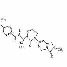 CN1Cc2cc(N3CCO[C@H]([C@@H](O)C(=O)Nc4ccc(CN)cc4)C3=O)ccc2C1=O.Cl